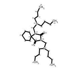 CCCCN(CCCC)CN1C(=S)N(CN(CCCC)CCCC)C2(CCCCC2)C1=S